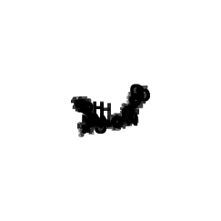 CC(C)(C)c1cc(NC(=O)NCc2ccc(-c3cnc4cc(-c5ccc(S(C)(=O)=O)cc5)ccn34)cc2)n(CCO[Si](C)(C)C(C)(C)C)n1